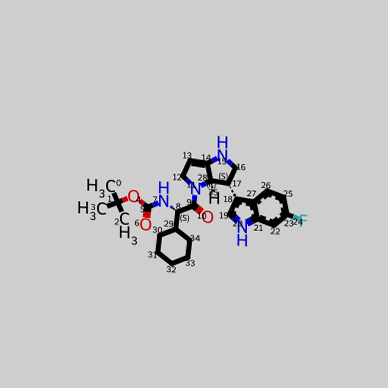 CC(C)(C)OC(=O)N[C@H](C(=O)N1CC=C2NC[C@H](c3c[nH]c4cc(F)ccc34)[C@H]21)C1CCCCC1